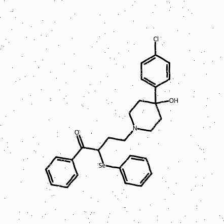 O=C(c1ccccc1)C(CCN1CCC(O)(c2ccc(Cl)cc2)CC1)[Se]c1ccccc1